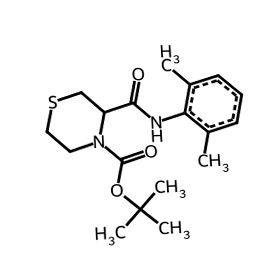 Cc1cccc(C)c1NC(=O)C1CSCCN1C(=O)OC(C)(C)C